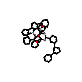 c1ccc(-c2cccc(-c3cccc(C4N=C(n5c6ccccc6c6ccc7c8ccccc8n(-c8c(-c9ccccc9)cccc8-c8ccccc8)c7c65)NC(c5ccccc5)N4)c3)c2)cc1